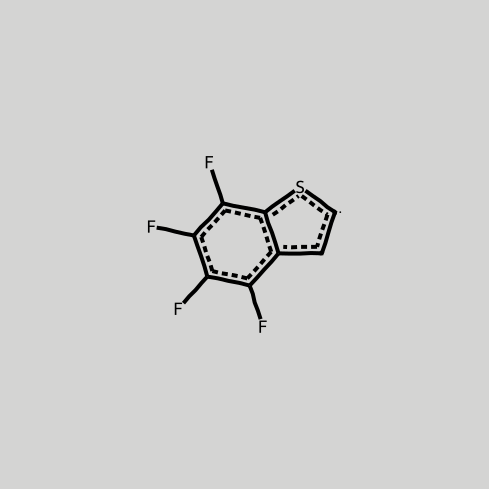 Fc1c(F)c(F)c2s[c]cc2c1F